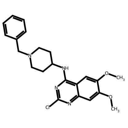 COc1cc2nc(Cl)nc(NC3CCN(Cc4ccccc4)CC3)c2cc1OC